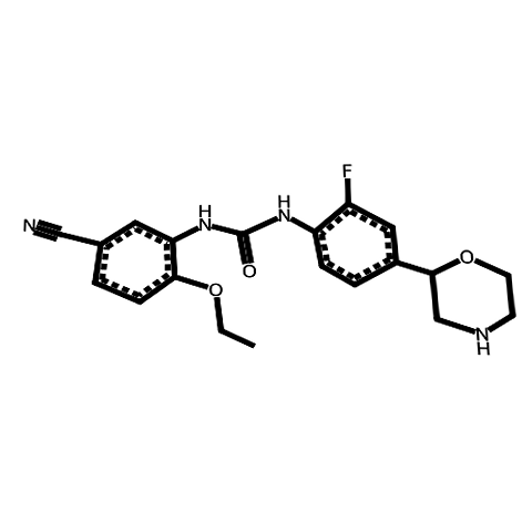 CCOc1ccc(C#N)cc1NC(=O)Nc1ccc(C2CNCCO2)cc1F